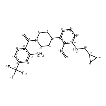 C=Nc1c(C2CCN(C(=C)c3ccc(C(F)(F)F)cc3N)CC2)ccnc1NCC1CC1